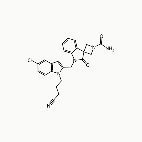 N#CCCCn1c(CN2C(=O)C3(CN(C(N)=O)C3)c3ccccc32)cc2cc(Cl)ccc21